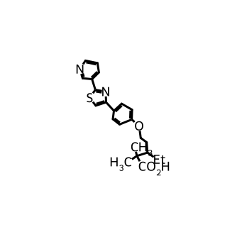 CCC(CCOc1ccc(-c2csc(-c3cccnc3)n2)cc1)C(C)(C)C(=O)O